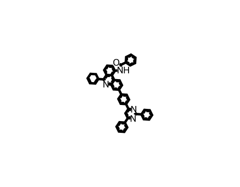 C1=CCCC(c2nc3cc(-c4ccc(-c5cc(-c6ccccc6)nc(-c6ccccc6)n5)cc4)ccc3c3c4c(ccc23)OC(c2ccccc2)N4)=C1